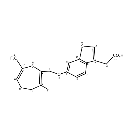 CC1=C(COc2ccc3c(CC(=O)O)csc3c2)SC(C(F)(F)F)=CCC1